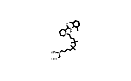 CCCN(CC=O)CCCCC(C)(C)CC(C)(C)CCCN1CCCCC1C(=O)Nc1c(C)cccc1C